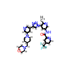 Cc1ncc(NC(=O)c2cc(C(F)(F)F)ccn2)cc1-n1cc(-c2cncc(N3CCC(CN4CCOCC4)CC3)c2)nn1